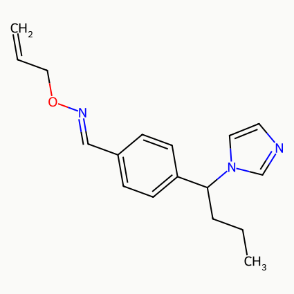 C=CCON=Cc1ccc(C(CCC)n2ccnc2)cc1